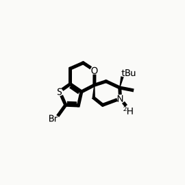 [2H]N1CC[C@]2(C[C@@]1(C)C(C)(C)C)OCCc1sc(Br)cc12